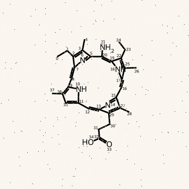 CCC1=C(C)c2nc1cc1[nH]c(cc3nc(cc4[nH]c(c2N)c(CC)c4C)C(C)=C3CCC(=O)O)cc1C